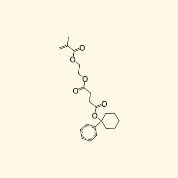 C=C(C)C(=O)OCCOC(=O)CCC(=O)OC1(c2ccccc2)CCCCC1